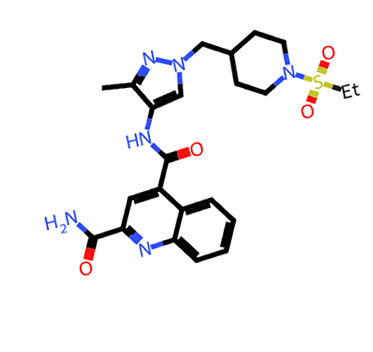 CCS(=O)(=O)N1CCC(Cn2cc(NC(=O)c3cc(C(N)=O)nc4ccccc34)c(C)n2)CC1